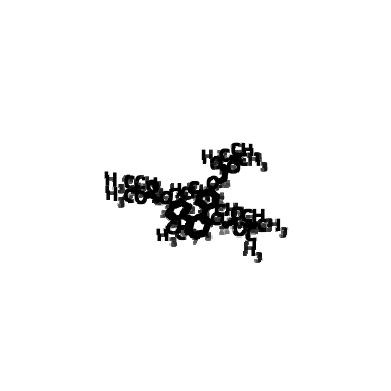 Cc1cc(-c2c(C)ccc(OCC(=O)OC(C)(C)C)c2-c2cc(C)c(OCC(=O)OC(C)(C)C)cc2C)c(C)cc1OCC(=O)OC(C)(C)C